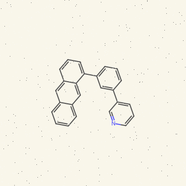 c1cncc(-c2cccc(-c3cccc4cc5ccccc5cc34)c2)c1